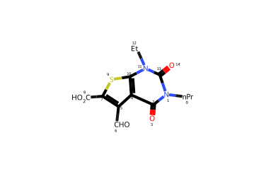 CCCn1c(=O)c2c(C=O)c(C(=O)O)sc2n(CC)c1=O